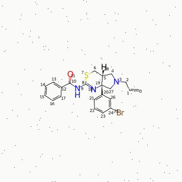 C=CCN1C[C@H]2CSC(NC(=O)c3ccccc3)=N[C@@]2(c2cccc(Br)c2)C1